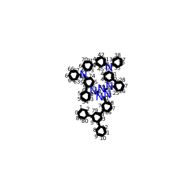 c1ccc(-c2cc(-c3ccccc3)cc(-c3cccc(-c4nc(-n5c6ccccc6c6cc(N(c7ccccc7)c7ccccc7)ccc65)nc(-n5c6ccccc6c6cc(N(c7ccccc7)c7ccccc7)ccc65)n4)c3)c2)cc1